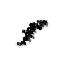 COC(=O)c1ccc(C2=CCC3(C)C(CCC4(C)C3CCC3C5CCCC5(NC(=O)NCC5(NC(=O)OC(C)(C)C)CC5)CC[C@]34C)C2(C)C)cc1